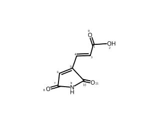 O=C(O)C=CC1=CC(=O)NC1=O